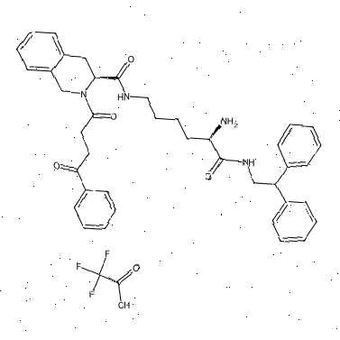 N[C@H](CCCCNC(=O)[C@@H]1Cc2ccccc2CN1C(=O)CCC(=O)c1ccccc1)C(=O)NCC(c1ccccc1)c1ccccc1.O=C(O)C(F)(F)F